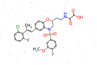 COc1cc(S(=O)(=O)N2CC(CCNC(=O)C(=O)O)Oc3ccc(C=C(C)c4c(F)cccc4Cl)cc32)ccc1F